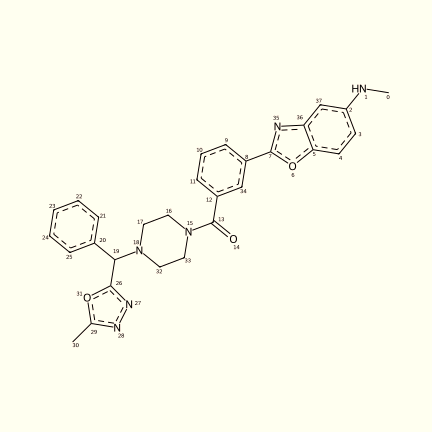 CNc1ccc2oc(-c3cccc(C(=O)N4CCN(C(c5ccccc5)c5nnc(C)o5)CC4)c3)nc2c1